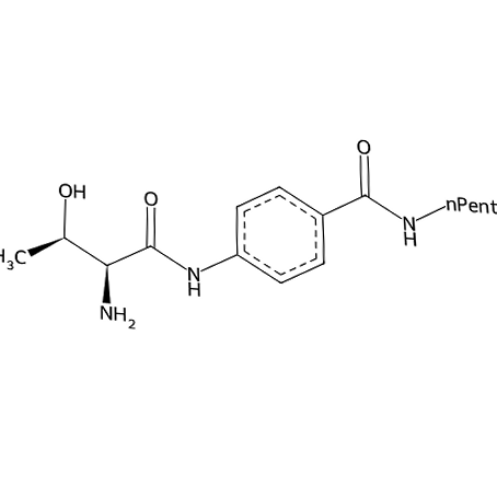 CCCCCNC(=O)c1ccc(NC(=O)[C@@H](N)[C@@H](C)O)cc1